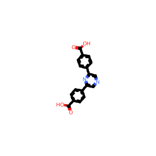 O=C(O)c1ccc(-c2cncc(-c3ccc(C(=O)O)cc3)n2)cc1